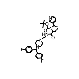 CC(C)(C)OC(=O)N1C(C(=O)NCCN2CCN(C(c3ccc(F)cc3)c3ccc(F)cc3)CC2)CSC1c1cccnc1